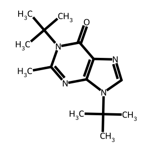 Cc1nc2c(ncn2C(C)(C)C)c(=O)n1C(C)(C)C